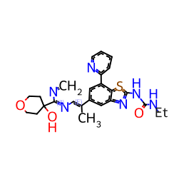 C=N/C(=N\C=C(/C)c1cc(-c2ccccn2)c2sc(NC(=O)NCC)nc2c1)C1(O)CCOCC1